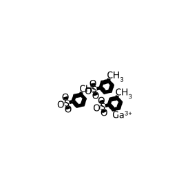 Cc1cccc(S(=O)(=O)[O-])c1.Cc1cccc(S(=O)(=O)[O-])c1.Cc1cccc(S(=O)(=O)[O-])c1.[Ga+3]